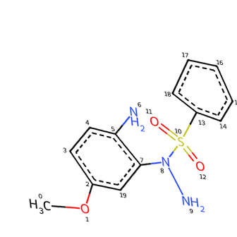 COc1ccc(N)c(N(N)S(=O)(=O)c2ccccc2)c1